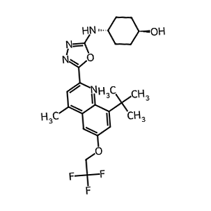 Cc1cc(-c2nnc(N[C@H]3CC[C@H](O)CC3)o2)nc2c(C(C)(C)C)cc(OCC(F)(F)F)cc12